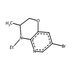 CCN1c2ncc(Br)cc2OCC1C